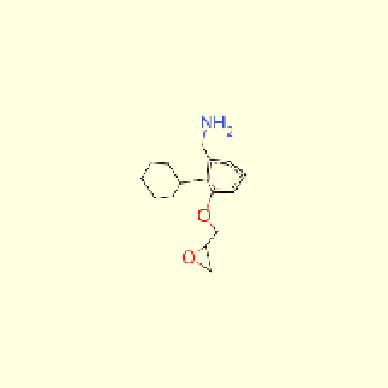 NCc1cccc(OCC2CO2)c1C1CCCCC1